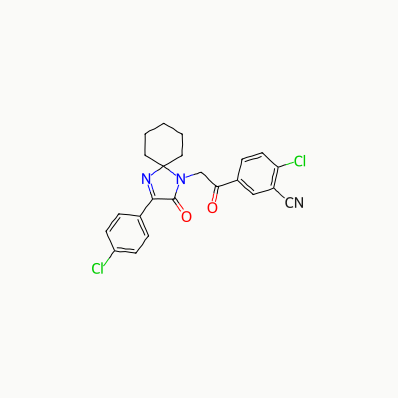 N#Cc1cc(C(=O)CN2C(=O)C(c3ccc(Cl)cc3)=NC23CCCCC3)ccc1Cl